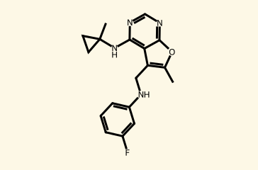 Cc1oc2ncnc(NC3(C)CC3)c2c1CNc1cccc(F)c1